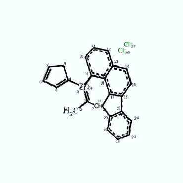 C[C](C)=[Zr+2]([C]1=CC=CC1)[c]1cccc2ccc3c(c12)Cc1ccccc1-3.[Cl-].[Cl-]